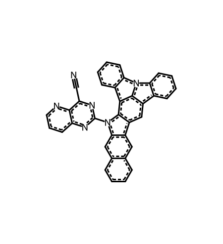 N#Cc1nc(-n2c3cc4ccccc4cc3c3cc4c5ccccc5n5c6ccccc6c(c32)c45)nc2cccnc12